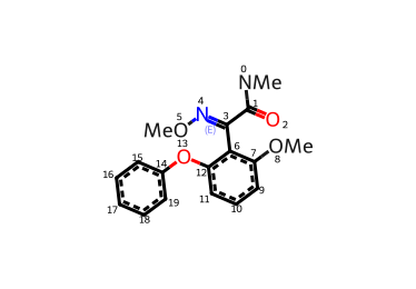 CNC(=O)/C(=N/OC)c1c(OC)cccc1Oc1ccccc1